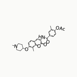 CC(=O)Oc1ccc(C(=O)Nc2cc3ccc(OC4CCN(C)CC4)c(C)c3oc2=O)cc1C